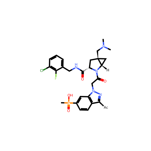 CC(=O)c1nn(CC(=O)N2[C@H]3C[C@@]3(CN(C)C)C[C@H]2C(=O)NCc2cccc(Cl)c2F)c2cc(P(C)(=O)O)ccc12